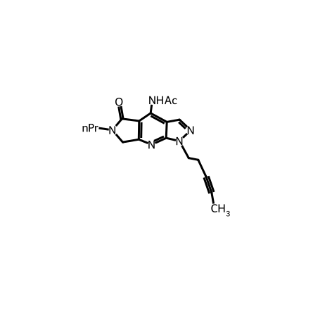 CC#CCCn1ncc2c(NC(C)=O)c3c(nc21)CN(CCC)C3=O